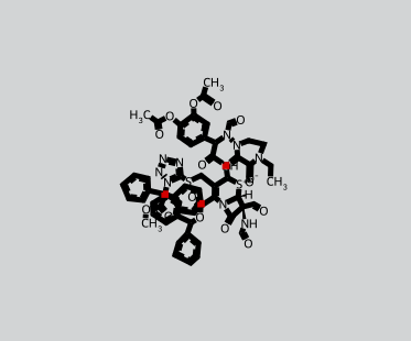 CCN1CCN(N(C=O)C(C(=O)NC2C(CSc3nnnn3C(C(=O)OC)(c3ccccc3)c3ccccc3)=C(C(=O)OC(c3ccccc3)c3ccccc3)N3C(=O)[C@](C=O)(NC=O)[C@@H]3[S+]2[O-])c2ccc(OC(C)=O)c(OC(C)=O)c2)C(=O)C1=O